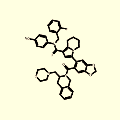 O=C(c1cc(-c2cc3c(cc2C(=O)N2Cc4ccccc4CC2CN2CCOCC2)OCO3)n2c1CCCC2)N(Cc1ccccc1F)c1ccc(O)cc1